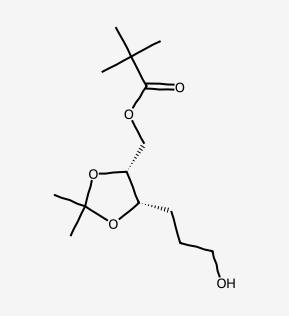 CC1(C)O[C@@H](CCCO)[C@@H](COC(=O)C(C)(C)C)O1